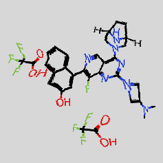 CN(C)C1CN(c2nc(N3C[C@H]4CC[C@@H](C3)N4)c3cnc(-c4cc(O)cc5ccccc45)c(F)c3n2)C1.O=C(O)C(F)(F)F.O=C(O)C(F)(F)F